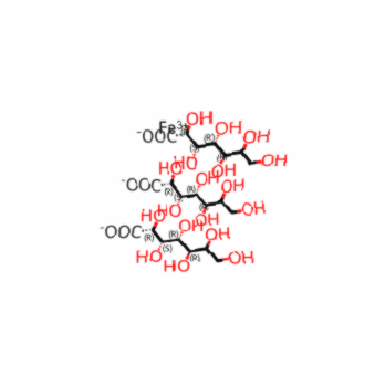 O=C([O-])[C@H](O)[C@@H](O)[C@H](O)[C@H](O)C(O)CO.O=C([O-])[C@H](O)[C@@H](O)[C@H](O)[C@H](O)C(O)CO.O=C([O-])[C@H](O)[C@@H](O)[C@H](O)[C@H](O)C(O)CO.[Fe+3]